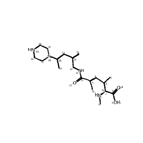 CN[C@H](C(=O)O)C(C)CC(C)C(=O)NCC(C)CC(C)N1CCNCC1